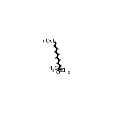 CCCCCCCCCCCCCCCCCC(C)(C)[O]